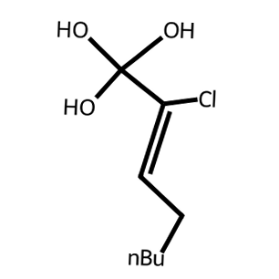 CCCCC/C=C(\Cl)C(O)(O)O